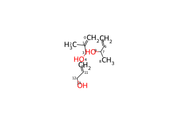 C=C(C)CO.C=CC(C)O.C=CCO